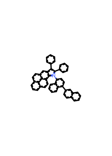 c1ccc(-c2c(-c3ccccc3)n(-c3ccc(-c4ccc5ccccc5c4)c4ccccc34)c3c2cc2ccc4cccc5ccc3c2c45)cc1